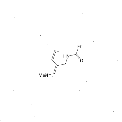 CCC(=O)NC/C(C=N)=C/NC